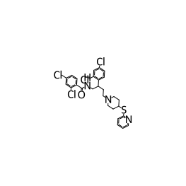 O=C(NCC(CCN1CCC(Sc2ccccn2)CC1)c1ccc(Cl)cc1Cl)c1ccc(Cl)cc1Cl